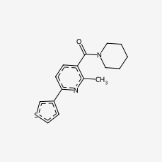 Cc1nc(-c2ccsc2)ccc1C(=O)N1CCCCC1